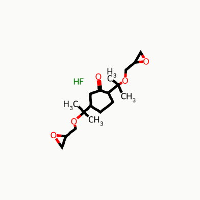 CC(C)(OCC1CO1)C1CCC(C(C)(C)OCC2CO2)C(=O)C1.F